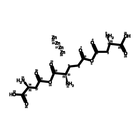 N[C@@H](CC(=O)OC(=O)CC[C@H](N)C(=O)OC(=O)C[C@H](N)C(=O)O)C(=O)O.[Zn].[Zn].[Zn].[Zn]